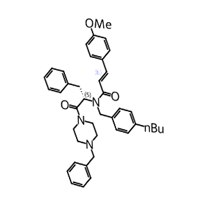 CCCCc1ccc(CN(C(=O)/C=C/c2ccc(OC)cc2)[C@@H](Cc2ccccc2)C(=O)N2CCN(Cc3ccccc3)CC2)cc1